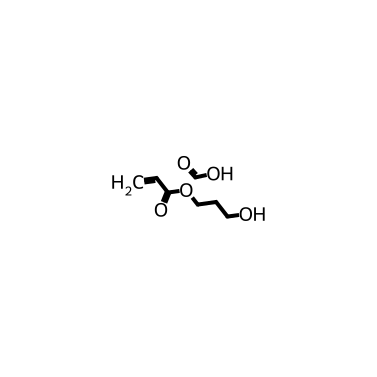 C=CC(=O)OCCCO.O=CO